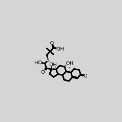 CC(C)(CSC(O)C(=O)[C@@]1(O)CCC2C3CCC4=CC(=O)CC[C@]4(C)C3[C@@H](O)C[C@@]21C)C(=O)O